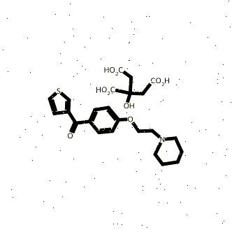 O=C(O)CC(O)(CC(=O)O)C(=O)O.O=C(c1ccc(OCCN2CCCCC2)cc1)c1ccsc1